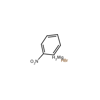 Br.O=[N+]([O-])c1ccccc1.[MgH2]